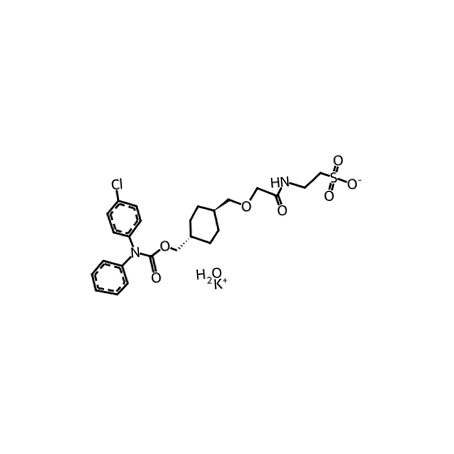 O.O=C(COC[C@H]1CC[C@H](COC(=O)N(c2ccccc2)c2ccc(Cl)cc2)CC1)NCCS(=O)(=O)[O-].[K+]